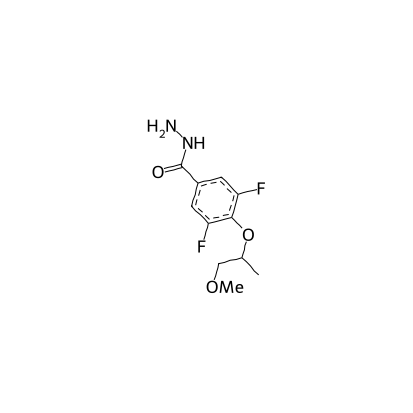 COCC(C)Oc1c(F)cc(C(=O)NN)cc1F